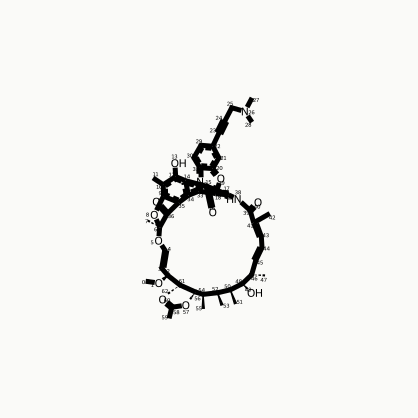 CO[C@H]1/C=C/O[C@@]2(C)Oc3c(C)c(O)c4c(=O)c(c5oc6cc(C#CCN(C)C)ccc6nc-5c4c3C2=O)NC(=O)/C(C)=C\C=C\[C@H](C)[C@H](O)[C@@H](C)[C@@H](C)[C@@H](C)[C@H](OC(C)=O)[C@@H]1C